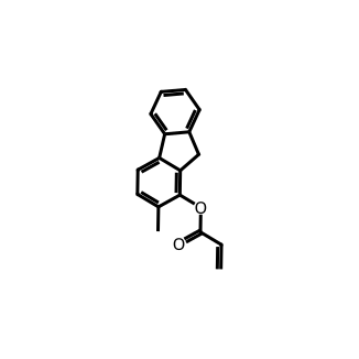 C=CC(=O)Oc1c(C)ccc2c1Cc1ccccc1-2